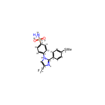 CSc1ccc(-c2nc(C(F)(F)F)cn2-c2ccc(S(N)(=O)=O)cc2)cc1